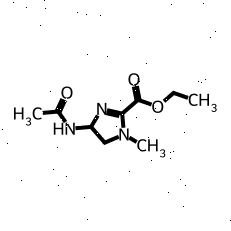 CCOC(=O)C1=NC(NC(C)=O)CN1C